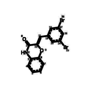 O=C1Nc2ccccc2OC1=Cc1cc(Br)cc(Br)c1